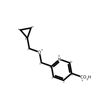 O=C(O)c1ccc(COCC2CC2)nc1